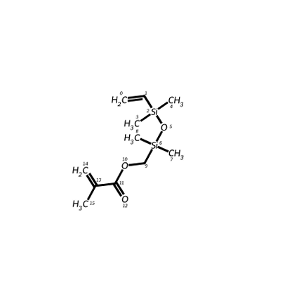 C=C[Si](C)(C)O[Si](C)(C)COC(=O)C(=C)C